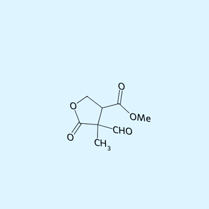 COC(=O)C1COC(=O)C1(C)C=O